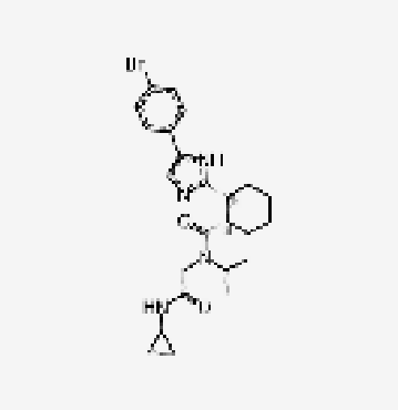 CC(C)N(CC(=O)NC1CC1)C(=O)[C@H]1CCCC[C@H]1c1ncc(-c2ccc(Br)cc2)[nH]1